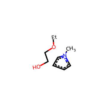 CCOCCO.Cn1cccc1